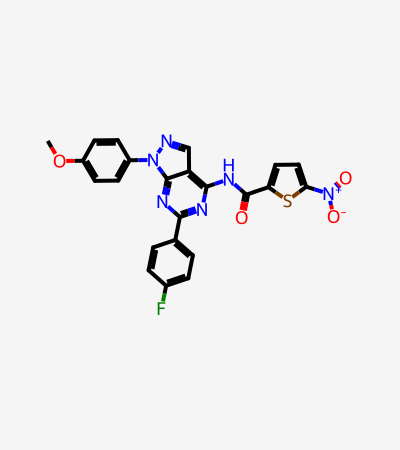 COc1ccc(-n2ncc3c(NC(=O)c4ccc([N+](=O)[O-])s4)nc(-c4ccc(F)cc4)nc32)cc1